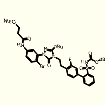 CCCCc1nn(-c2cc(NC(=O)CCOC)ccc2Br)c(=O)n1CCc1ccc(-c2ccccc2S(=O)(=O)NC(=O)OC(C)(C)C)cc1F